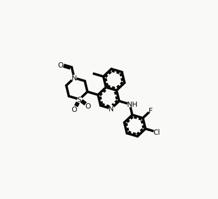 Cc1cccc2c(Nc3cccc(Cl)c3F)ncc(C3CN(C=O)CCS3(=O)=O)c12